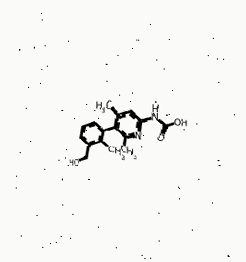 Cc1cc(NC(=O)O)nc(C)c1-c1cccc(CO)c1C